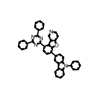 c1ccc(-c2nc(-c3ccccc3)nc(-c3ccc(-c4ccc5c(c4)c4ccccc4n5-c4ccccc4)c4oc5ccncc5c34)n2)cc1